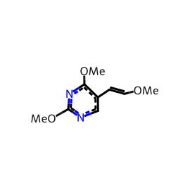 COC=Cc1cnc(OC)nc1OC